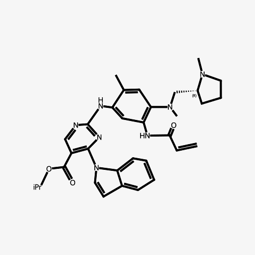 C=CC(=O)Nc1cc(Nc2ncc(C(=O)OC(C)C)c(-n3ccc4ccccc43)n2)c(C)cc1N(C)C[C@H]1CCCN1C